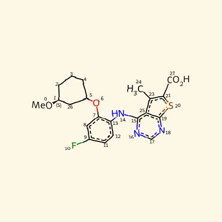 CO[C@H]1CCCC(Oc2cc(F)ccc2Nc2ncnc3sc(C(=O)O)c(C)c23)C1